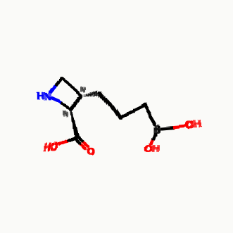 O=C(O)[C@H]1NC[C@@H]1CCCB(O)O